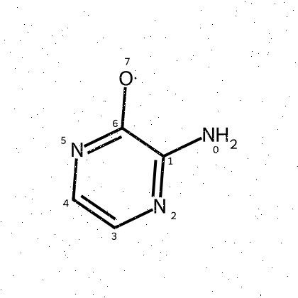 Nc1nccnc1[O]